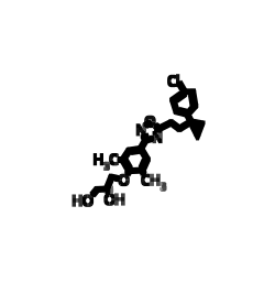 Cc1cc(-c2noc(CCC3(c4ccc(Cl)cc4)CC3)n2)cc(C)c1OC[C@@H](O)CO